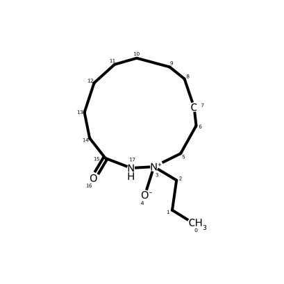 CCC[N+]1([O-])CCCCCCCCCCC(=O)N1